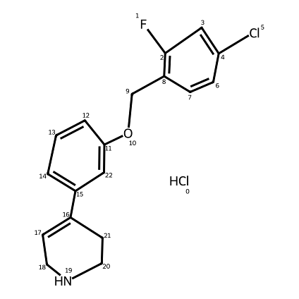 Cl.Fc1cc(Cl)ccc1COc1cccc(C2=CCNCC2)c1